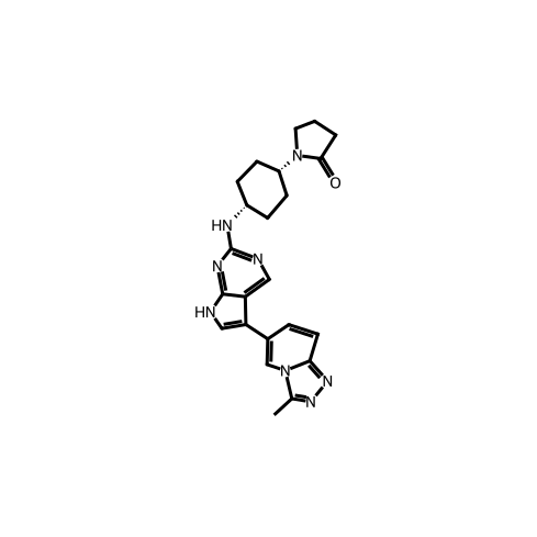 Cc1nnc2ccc(-c3c[nH]c4nc(N[C@H]5CC[C@@H](N6CCCC6=O)CC5)ncc34)cn12